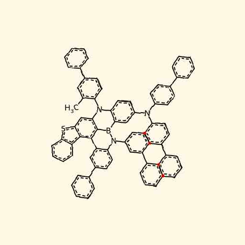 Cc1cc(-c2ccccc2)ccc1N1c2ccc(N(c3ccc(-c4ccccc4)cc3)c3ccc(-c4ccccc4)cc3)cc2B2c3c1cc1sc4ccccc4c1c3-c1cc(-c3ccccc3)ccc1N2c1cccc(-c2ccccc2)c1